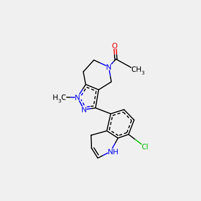 CC(=O)N1CCc2c(c(-c3ccc(Cl)c4c3CC=CN4)nn2C)C1